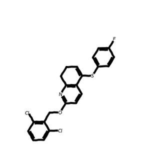 Fc1ccc(SC2=CCCc3nc(OCc4c(Cl)cccc4Cl)ccc32)cc1